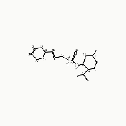 CC1CCC(C(C)C)C(OC(=O)NC/C=C/C2CC=CCC2)C1